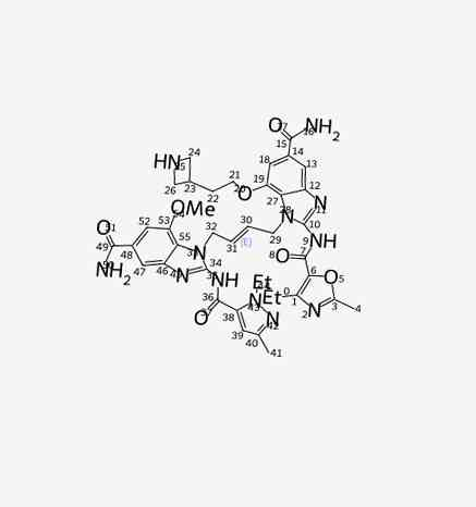 CCc1nc(C)oc1C(=O)Nc1nc2cc(C(N)=O)cc(OCCC3CNC3)c2n1C/C=C/Cn1c(NC(=O)c2cc(C)nn2CC)nc2cc(C(N)=O)cc(OC)c21